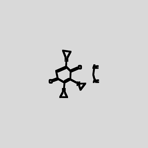 CC(=O)CC(C)=O.O=C1C=C(N2CC2)C(=O)C(N2CC2)=C1N1CC1